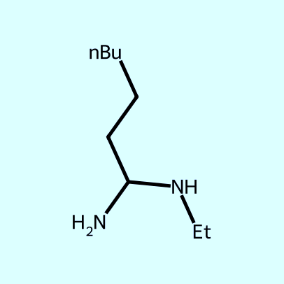 CCCCCCC(N)NCC